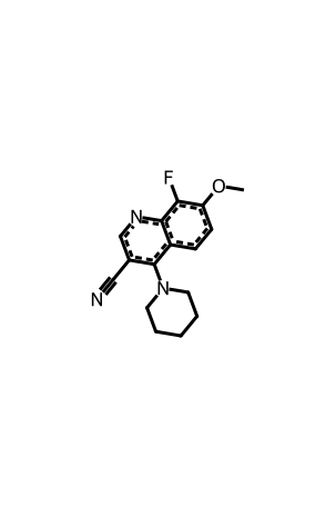 COc1ccc2c(N3CCCCC3)c(C#N)cnc2c1F